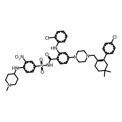 CN1CCC(Nc2ccc(S(=O)(=O)NC(=O)c3ccc(N4CCN(CC5=C(c6ccc(Cl)cc6)CC(C)(C)CC5)CC4)cc3Nc3ccccc3Cl)cc2[N+](=O)[O-])CC1